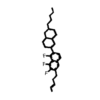 C/C=C/CCc1cc2ccc(C3CCC4CC(CCCCC)CCC4C3)c(F)c2c(F)c1F